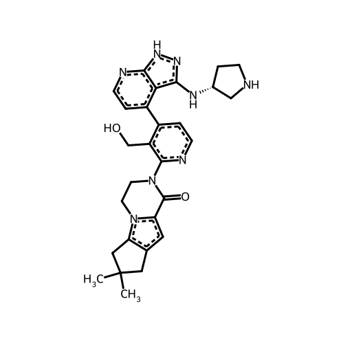 CC1(C)Cc2cc3n(c2C1)CCN(c1nccc(-c2ccnc4[nH]nc(N[C@@H]5CCNC5)c24)c1CO)C3=O